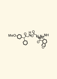 COc1ccc(C(C(=O)CNOC(=O)CCNC(=O)c2c(C(=N)N)ccc3cocc23)c2ccccc2)cc1